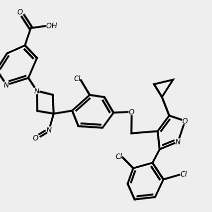 O=NC1(c2ccc(OCc3c(-c4c(Cl)cccc4Cl)noc3C3CC3)cc2Cl)CN(c2cc(C(=O)O)ccn2)C1